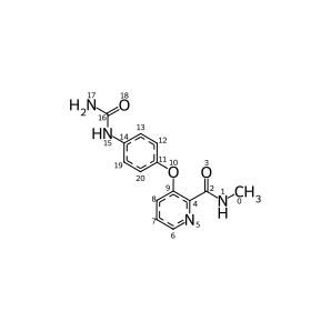 CNC(=O)c1ncccc1Oc1ccc(NC(N)=O)cc1